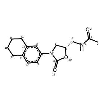 CC(=O)NC[C@H]1CN(c2ccc3c(c2)CCCC3)C(=O)O1